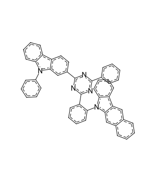 c1ccc(-c2nc(-c3ccc4c5ccccc5n(-c5ccccc5)c4c3)nc(-c3ccccc3-n3c4ccccc4c4cc5ccccc5cc43)n2)cc1